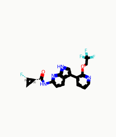 O=C(Nc1ccc2c(-c3cccnc3OCC(F)(F)F)c[nH]c2n1)[C@@H]1C[C@@H]1F